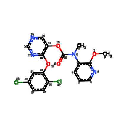 COc1ncccc1N(C)C(=O)Oc1cncnc1Oc1cc(Cl)ccc1Cl